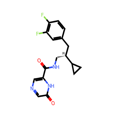 O=C(NC[C@H](Cc1ccc(F)c(F)c1)C1CC1)c1cncc(=O)[nH]1